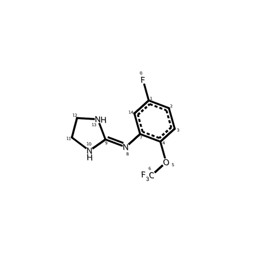 Fc1ccc(OC(F)(F)F)c(N=C2NCCN2)c1